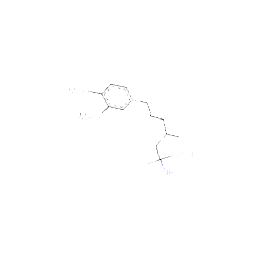 COc1ccc(CCCC(C)CC(C)(N)C(=O)O)cc1OC